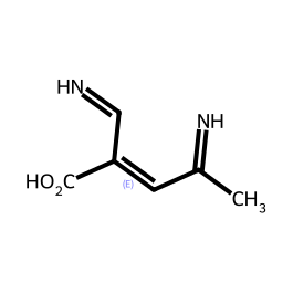 CC(=N)/C=C(\C=N)C(=O)O